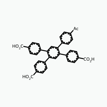 CC(=O)c1ccc(-c2cc(-c3ccc(C(=O)O)cc3)c(-c3ccc(C(=O)O)cc3)cc2-c2ccc(C(=O)O)cc2)cc1